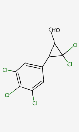 O=CC1C(c2cc(Cl)c(Cl)c(Cl)c2)C1(Cl)Cl